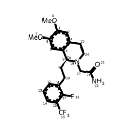 COc1cc2c(cc1OC)[C@H](CCc1cccc(C(F)(F)F)c1F)N(CC(N)=O)CC2